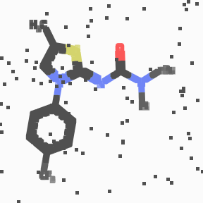 CCCCN(CC)C(=O)N=c1sc(C)cn1-c1ccc(C(F)(F)F)cc1